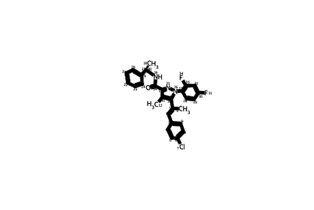 CC(=Cc1ccc(Cl)cc1)c1c(C)c(C(=O)N[C@H](C)c2ccccc2)nn1-c1ccc(F)cc1F